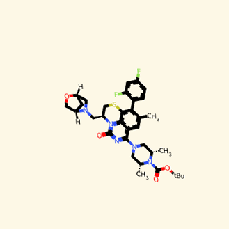 Cc1cc2c(N3C[C@@H](C)N(C(=O)OC(C)(C)C)[C@@H](C)C3)nc(=O)n3c2c(c1-c1ccc(F)cc1F)SC[C@@H]3CN1C[C@@H]2C[C@H]1CO2